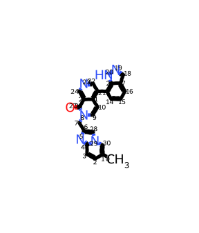 Cc1ccc2nc(Cn3ccc4c(-c5cccc6cn[nH]c56)cncc4c3=O)cn2c1